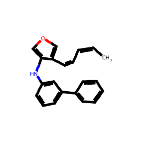 C/C=C\C=C/c1cocc1Nc1cccc(-c2ccccc2)c1